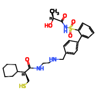 C[C@H](O)C(=O)NS(=O)(=O)c1ccccc1-c1ccc(CNCCNC(=O)[C@@H](CS)C2CCCCC2)cc1